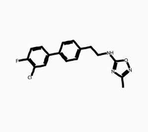 Cc1noc(NCCc2ccc(-c3ccc(F)c(Cl)c3)cc2)n1